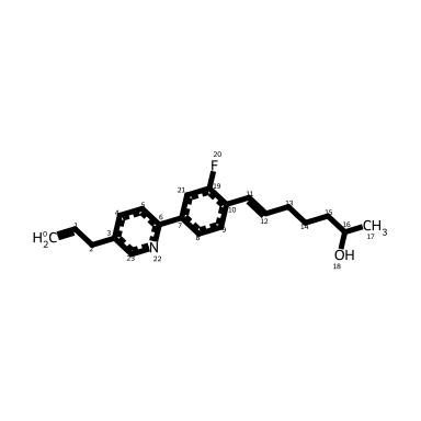 C=CCc1ccc(-c2ccc(C=CCCCC(C)O)c(F)c2)nc1